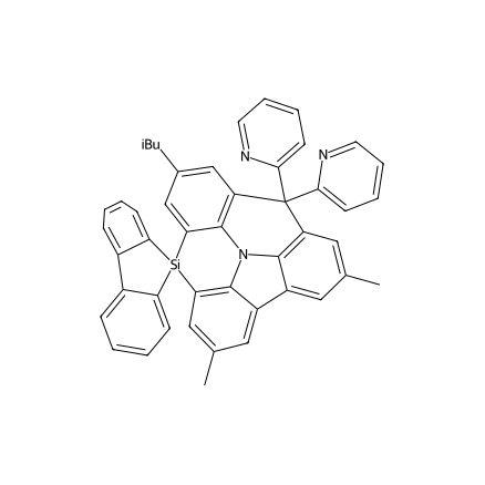 CCC(C)c1cc2c3c(c1)[Si]1(c4ccccc4-c4ccccc41)c1cc(C)cc4c5cc(C)cc(c5n-3c14)C2(c1ccccn1)c1ccccn1